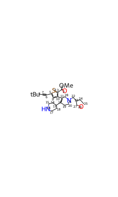 COC(=O)c1sc(C#CC(C)(C)C)cc1C1=C(C2CCNCC2)CCN(CC2CCOC2)C1